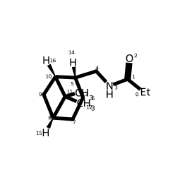 CCC(=O)NC[C@@H]1CC[C@@H]2C[C@H]1C2(C)C